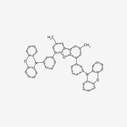 Cc1cc(-c2cccc(N3c4ccccc4Oc4ccccc43)c2)c2oc3c(-c4cccc(N5c6ccccc6Oc6ccccc65)c4)cc(C)cc3c2c1